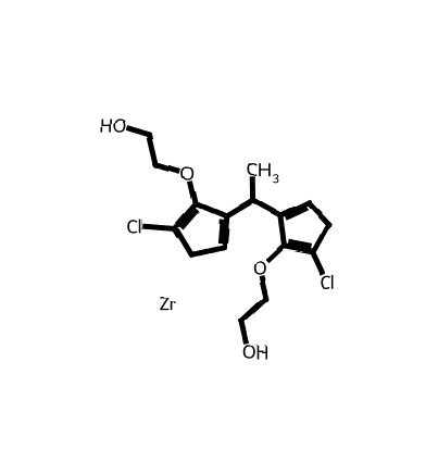 CC(C1=CCC(Cl)=C1OCCO)C1=CCC(Cl)=C1OCCO.[Zr]